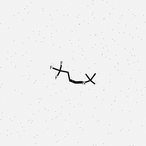 CC(C)(C)N=C=CCC(F)(F)F